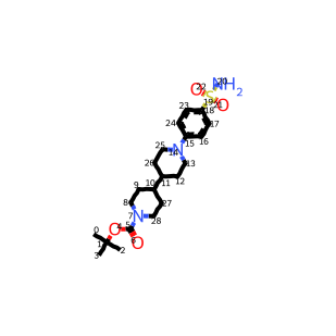 CC(C)(C)OC(=O)N1CCC(C2CCN(c3ccc(S(N)(=O)=O)cc3)CC2)CC1